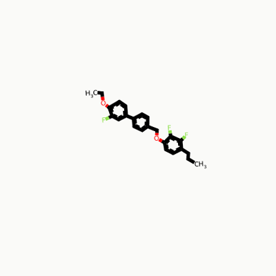 CCCc1ccc(OCc2ccc(-c3ccc(OCC)c(F)c3)cc2)c(F)c1F